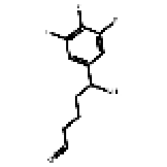 NC(CCCC=O)c1cc(F)c(F)c(F)c1